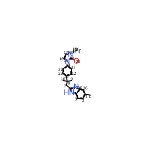 Cc1ccc2[nH]c(CC(C)(C)c3ccc(-n4ccn(C(C)C)c4=O)cc3)nc2c1